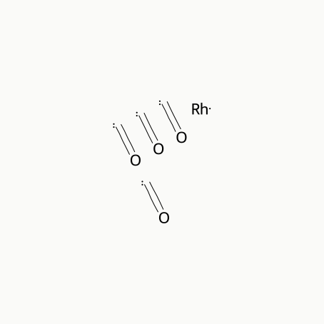 [C]=O.[C]=O.[C]=O.[C]=O.[Rh]